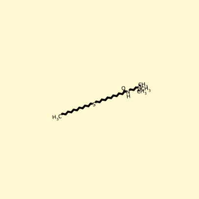 CCCCCCCCCCCCSCCCCCCCCCCC(=O)NCCC[N+](C)(C)C